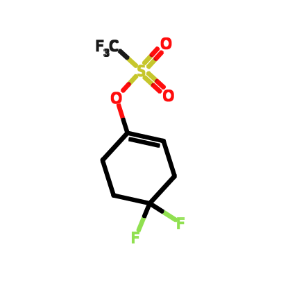 O=S(=O)(OC1=CCC(F)(F)CC1)C(F)(F)F